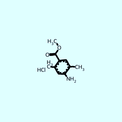 COC(=O)c1cc(C)c(N)cc1C.Cl